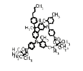 CCCCc1ccc(C2(C)c3ccc(N(c4ccc(B5OC(C)(C)C(C)(C)O5)cc4)c4ccc(C)cc4C)cc3-c3cc(N(c4ccc(B5OC(C)(C)C(C)(C)O5)cc4)c4ccc(C)cc4C)ccc32)cc1